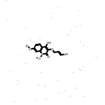 CCCC=CCOc1c(O)c2ccc(OCC)cc2n(C)c1=O